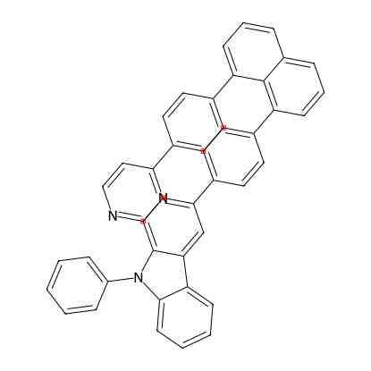 c1ccc(-n2c3ccccc3c3cc(-c4ccc(-c5cccc6cccc(-c7ccc(-c8ccncn8)cc7)c56)cc4)ccc32)cc1